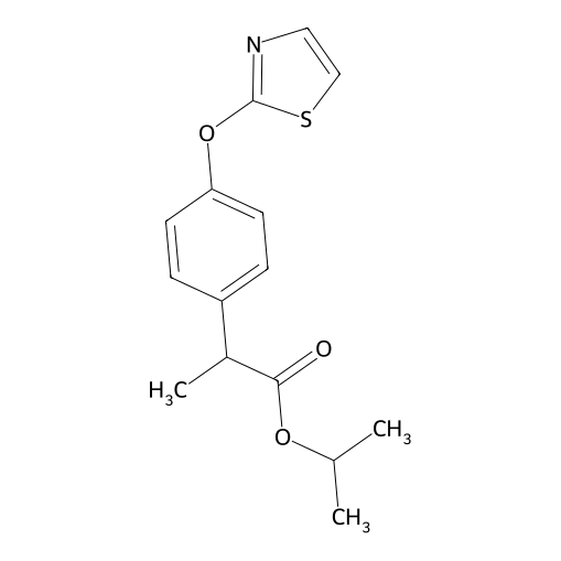 CC(C)OC(=O)C(C)c1ccc(Oc2nccs2)cc1